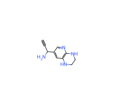 C#CC(N)c1cnc2c(c1)NCCN2